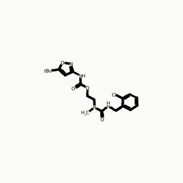 CN(CCOC(=O)Nc1cc(C(C)(C)C)on1)C(=O)NCc1ccccc1Cl